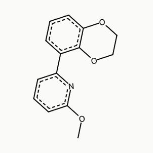 COc1cccc(-c2cccc3c2OCCO3)n1